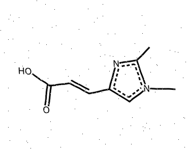 Cc1nc(C=CC(=O)O)cn1C